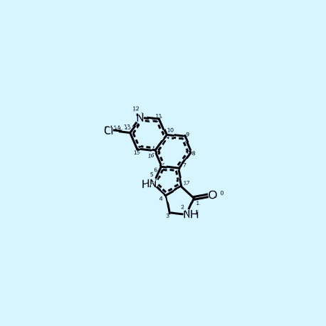 O=C1NCc2[nH]c3c(ccc4cnc(Cl)cc43)c21